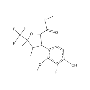 COC(=O)C1OC(C)(C(F)(F)F)C(C)C1c1ccc(O)c(F)c1OC